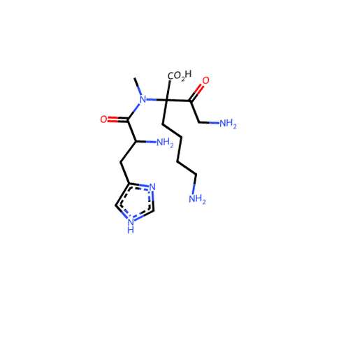 CN(C(=O)C(N)Cc1c[nH]cn1)C(CCCCN)(C(=O)O)C(=O)CN